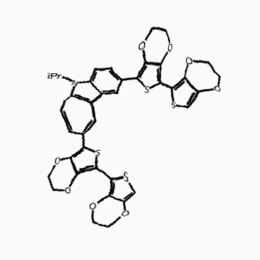 CC(C)n1c2ccc(-c3sc(-c4scc5c4OCCO5)c4c3OCCO4)cc2c2cc(-c3sc(-c4scc5c4OCCO5)c4c3OCCO4)ccc21